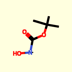 CC(C)(C)OC(=O)[N]O